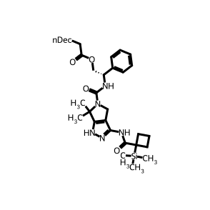 CCCCCCCCCCCC(=O)OC[C@@H](NC(=O)N1Cc2c(NC(=O)C3([Si](C)(C)C)CCC3)n[nH]c2C1(C)C)c1ccccc1